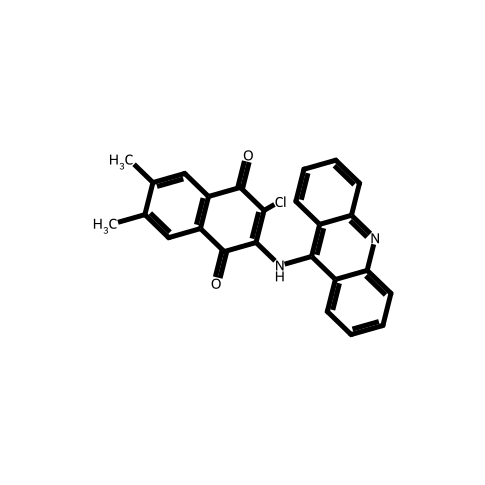 Cc1cc2c(cc1C)C(=O)C(Nc1c3ccccc3nc3ccccc13)=C(Cl)C2=O